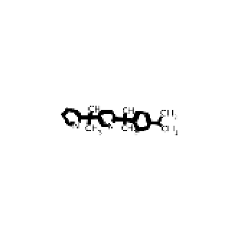 CC(C)c1ccc(C(C)(C)c2ccc(C(C)(C)c3ccccn3)cn2)cc1